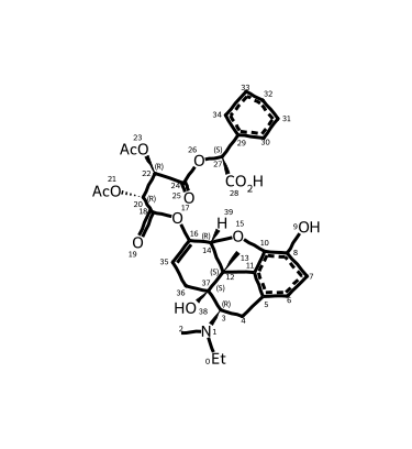 CCN(C)[C@@H]1Cc2ccc(O)c3c2[C@@]2(C)[C@@H](O3)C(OC(=O)[C@H](OC(C)=O)[C@@H](OC(C)=O)C(=O)O[C@H](C(=O)O)c3ccccc3)=CC[C@@]12O